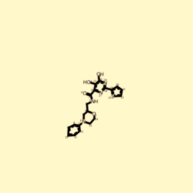 O=C(NCC1CN(c2ccccc2)CCO1)c1nc(-c2cccs2)nc(O)c1O